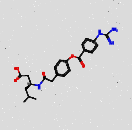 CC(C)C[C@@H](CC(=O)O)NC(=O)Cc1ccc(OC(=O)c2ccc(NC(=N)N)cc2)cc1